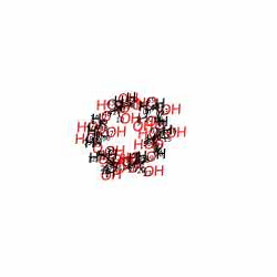 OCC1O[C@@H]2O[C@@H]3C(CO)O[C@H](O[C@@H]4C(CO)O[C@H](OC5C(CO)OC(O[C@@H]6C(CO)O[C@H](O[C@@H]7C(CO)O[C@H](OC1[C@H](O)C2O)C(O)[C@H]7O)C(O)[C@H]6O)[C@@H](O)[C@H]5O)C(O)[C@H]4O)C(O)[C@H]3O